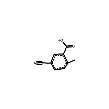 Cc1ccc(C#N)cc1C(=O)O